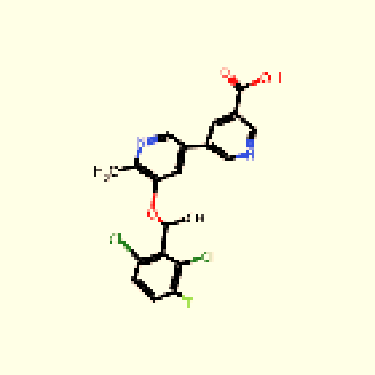 Cc1ncc(-c2cncc(C(=O)O)c2)cc1OC(C)c1c(Cl)ccc(F)c1Cl